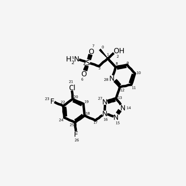 C[C@](O)(CS(N)(=O)=O)c1cccc(-c2nnn(Cc3cc(Cl)c(F)cc3F)n2)n1